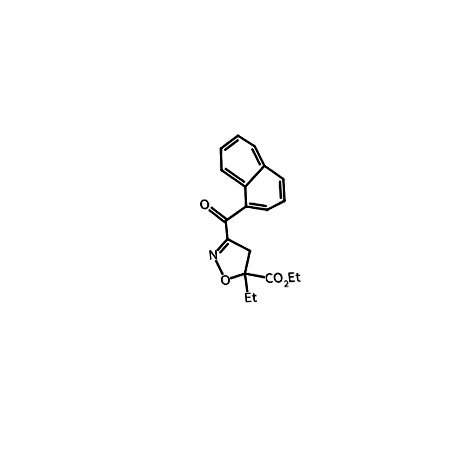 CCOC(=O)C1(CC)CC(C(=O)c2cccc3ccccc23)=NO1